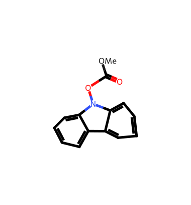 COC(=O)On1c2ccccc2c2ccccc21